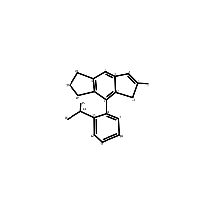 CC1=Cc2cc3c(c(-c4ccccc4C(C)C)c2C1)CCC3